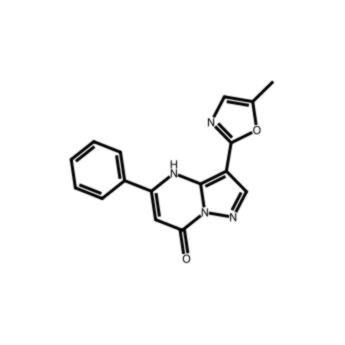 Cc1cnc(-c2cnn3c(=O)cc(-c4ccccc4)[nH]c23)o1